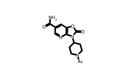 CC(=O)N1CCC(n2c(=O)oc3cc(C(N)=O)cnc32)CC1